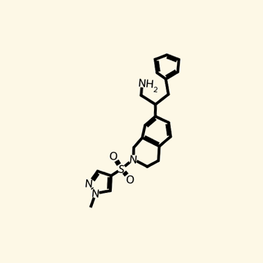 Cn1cc(S(=O)(=O)N2CCc3ccc(C(CN)Cc4ccccc4)cc3C2)cn1